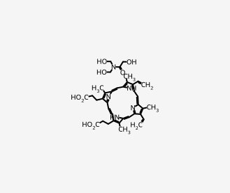 C=CC1=C(C)c2cc3[nH]c(cc4nc(cc5[nH]c(cc1n2)c(C)c5CCC(=O)O)C(CCC(=O)O)=C4C)c(C)c3C=C.O=C(CO)N(CO)CO